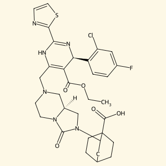 CCOC(=O)C1=C(CN2CCN3C(=O)N(C4CC5CCC4(C(=O)O)CC5)C[C@@H]3C2)NC(c2nccs2)=N[C@H]1c1ccc(F)cc1Cl